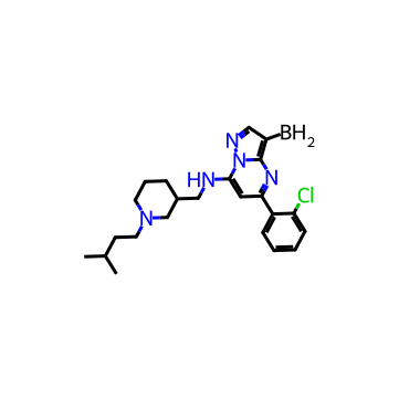 Bc1cnn2c(NCC3CCCN(CCC(C)C)C3)cc(-c3ccccc3Cl)nc12